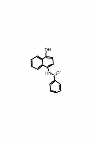 [O-][S+](Nc1ccc(O)c2ccccc12)c1ccccc1